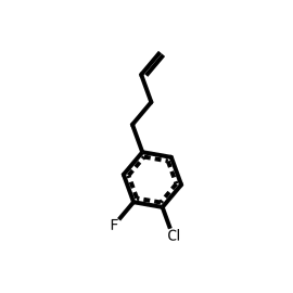 C=CCCc1ccc(Cl)c(F)c1